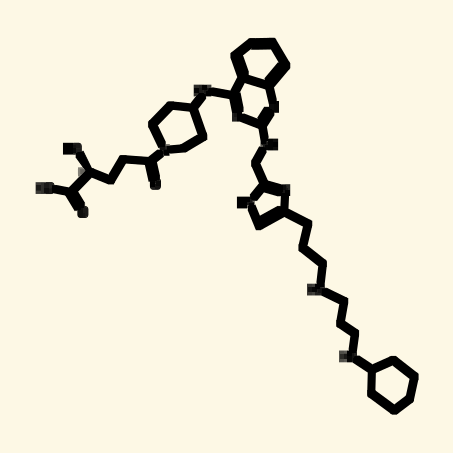 O=C(O)[C@@H](O)CCC(=O)N1CCC(Nc2nc(NCc3nc(CCCNCCCNC4CCCCC4)c[nH]3)nc3ccccc23)CC1